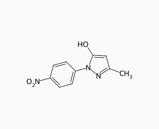 Cc1cc(O)n(-c2ccc([N+](=O)[O-])cc2)n1